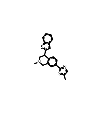 Cc1cnc(-c2ccc3c(c2)CN(C)CC3c2cc3ccccc3s2)s1